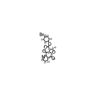 Cc1oc2c(c1C(=O)Oc1ccc(Br)cc1)C(=O)c1ncccc1C2=O